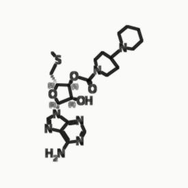 CSC[C@H]1O[C@@H](n2cnc3c(N)ncnc32)[C@H](O)[C@@H]1OC(=O)N1CCC(N2CCCCC2)CC1